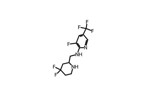 Fc1cc(C(F)(F)F)cnc1NCC1CC(F)(F)CCN1